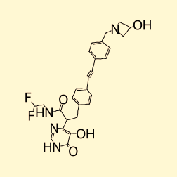 O=C(NCC(F)F)C(Cc1ccc(C#Cc2ccc(CN3CC(O)C3)cc2)cc1)c1nc[nH]c(=O)c1O